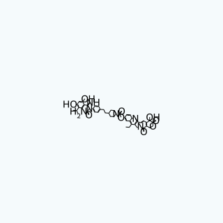 CCc1c2c(nc3ccc(OC(=O)N4CCC(CCc5ccc(N(C(=N)c6cc(C(C)C)c(O)cc6O)C(N)=O)cc5)CC4)cc13)-c1cc3c(c(=O)n1C2)COC(=O)C3O